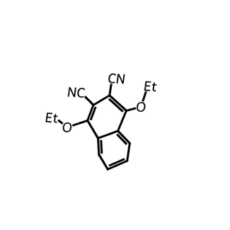 CCOc1c(C#N)c(C#N)c(OCC)c2ccccc12